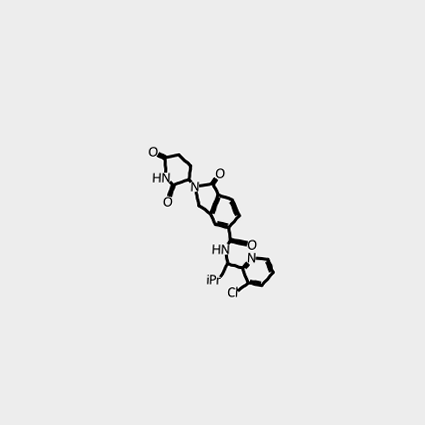 CC(C)C(NC(=O)c1ccc2c(c1)CN(C1CCC(=O)NC1=O)C2=O)c1ncccc1Cl